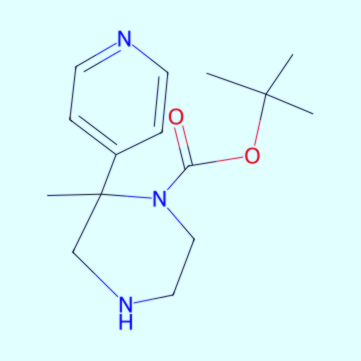 CC(C)(C)OC(=O)N1CCNCC1(C)c1ccncc1